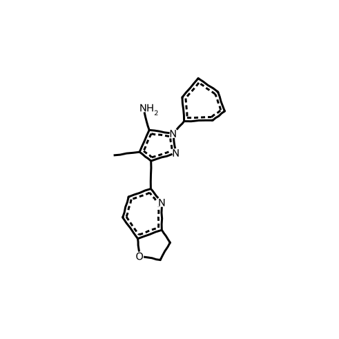 Cc1c(-c2ccc3c(n2)CCO3)nn(-c2ccccc2)c1N